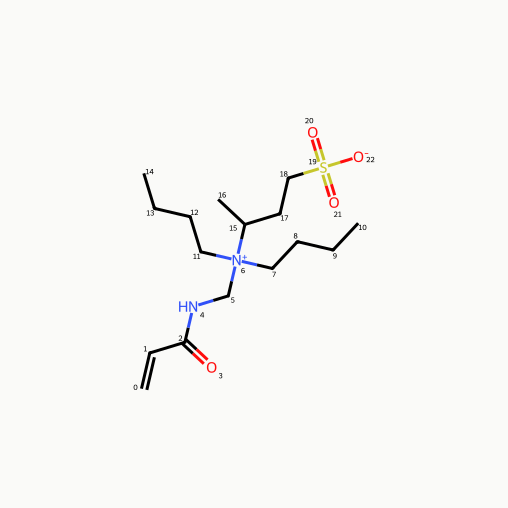 C=CC(=O)NC[N+](CCCC)(CCCC)C(C)CCS(=O)(=O)[O-]